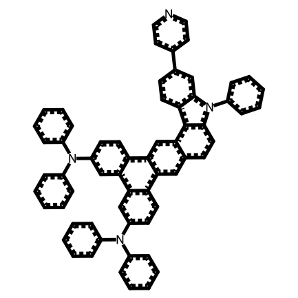 c1ccc(N(c2ccccc2)c2ccc3c(c2)c2cc(N(c4ccccc4)c4ccccc4)ccc2c2cc4c(ccc5c4c4ccc(-c6ccncc6)cc4n5-c4ccccc4)cc32)cc1